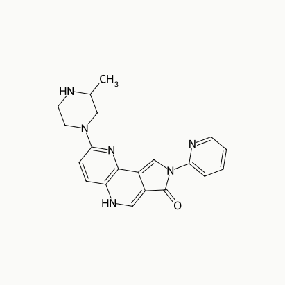 CC1CN(c2ccc3[nH]cc4c(=O)n(-c5ccccn5)cc-4c3n2)CCN1